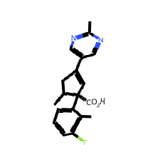 Cc1ncc(C2=CC(C(=O)O)(c3cccc(F)c3C)C(C)C2)cn1